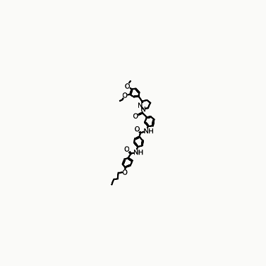 CCCCOc1ccc(C(=O)Nc2ccc(C(=O)Nc3cccc(C(=O)N4CCCC(c5ccc(OC)c(OCC)c5)=N4)c3)cc2)cc1